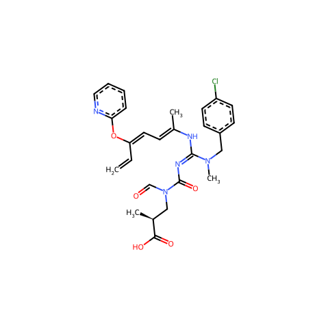 C=C/C(=C\C=C(/C)N/C(=N/C(=O)N(C=O)C[C@H](C)C(=O)O)N(C)Cc1ccc(Cl)cc1)Oc1ccccn1